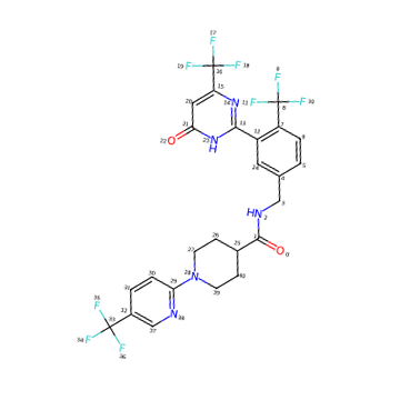 O=C(NCc1ccc(C(F)(F)F)c(-c2nc(C(F)(F)F)cc(=O)[nH]2)c1)C1CCN(c2ccc(C(F)(F)F)cn2)CC1